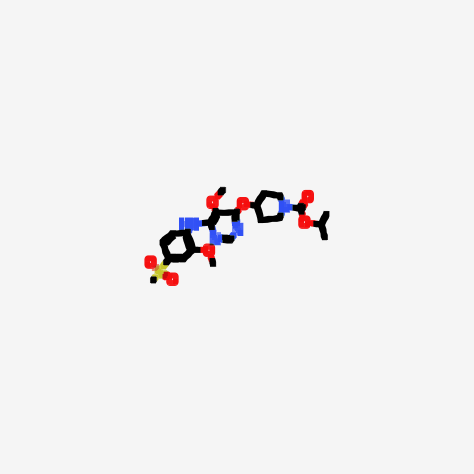 COc1cc(S(C)(=O)=O)ccc1Nc1ncnc(OC2CCN(C(=O)OC(C)C)CC2)c1OC